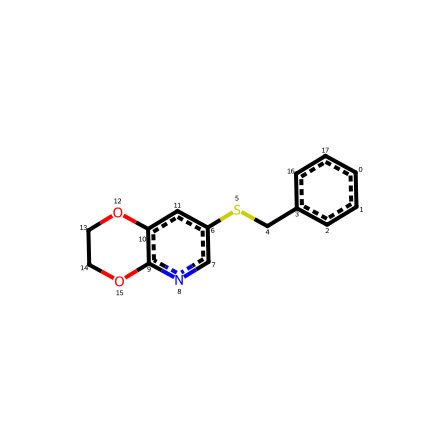 c1ccc(CSc2cnc3c(c2)OCCO3)cc1